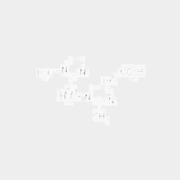 Cc1nccn1C.Cc1nccn1C.O=C(O)O